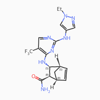 CCn1cc(Nc2ncc(C(F)(F)F)c(N[C@@H]3[C@H](C(N)=O)[C@H]4C=C[C@@H]3C4)n2)cn1